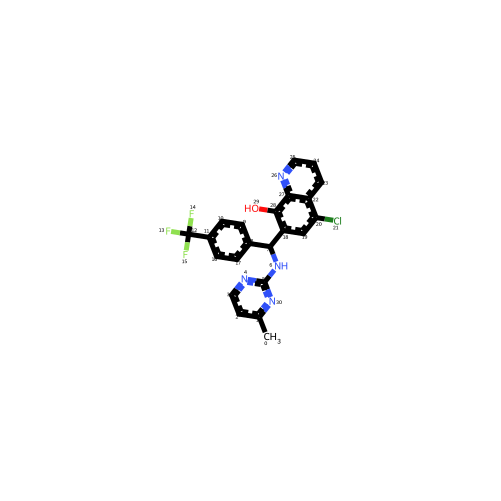 Cc1ccnc(NC(c2ccc(C(F)(F)F)cc2)c2cc(Cl)c3cccnc3c2O)n1